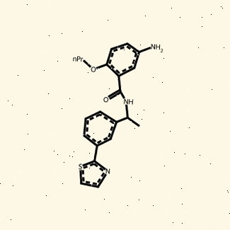 CCCOc1ccc(N)cc1C(=O)NC(C)c1cccc(-c2nccs2)c1